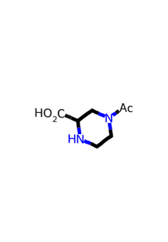 CC(=O)N1CCNC(C(=O)O)C1